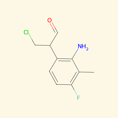 Cc1c(F)ccc(C(C=O)CCl)c1N